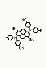 CC(C)(C)c1cc(N(c2ccc(F)cc2)c2ccc(C#N)cc2)c2ccc3c(C(C)(C)C)cc(N(c4ccc(F)cc4)c4ccc(C#N)cc4)c4ccc1c2c43